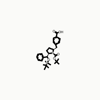 CC(C)(C)OC(=O)N1[C@H](Cc2ccc(C(=O)O)cc2)CC[C@@H]1C(O[Si](C)(C)C(C)(C)C)c1ccccc1